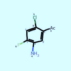 CC(=O)c1cc(N)c(F)cc1Cl